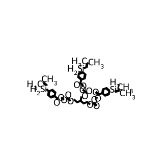 CC(C)=C[SiH2]c1ccc(C(=O)OOC(=O)OCCC(CCOC(=O)OOC(=O)c2ccc([SiH2]C=C(C)C)cc2)COC(=O)OOC(=O)c2ccc([SiH2]C=C(C)C)cc2)cc1